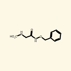 O=C(O)NCC(=O)NOCc1ccccc1